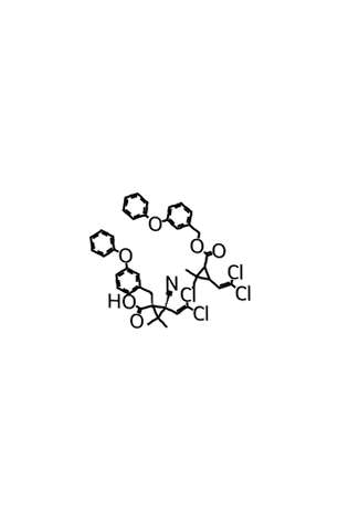 CC1(C)C(C=C(Cl)Cl)C1C(=O)OCc1cccc(Oc2ccccc2)c1.CC1(C)[C@](Cc2cccc(Oc3ccccc3)c2)(C(=O)O)[C@]1(C#N)C=C(Cl)Cl